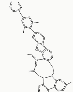 C=C1CC2c3ccccc3-c3ccc(C)c[n+]3C2CCc2ccc3c(oc4nc(-c5c(C)cc(-c6ccccc6)cc5C)ccc43)c2/C(=C/C)N1